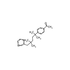 CC(=O)c1ccc(C(C)(C)CCC(C)(C)Cc2cccnc2)cc1